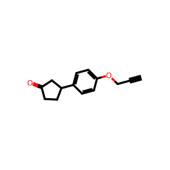 C#CCOc1ccc(C2CCC(=O)C2)cc1